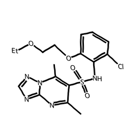 CCOCCOc1cccc(Cl)c1NS(=O)(=O)c1c(C)nc2ncnn2c1C